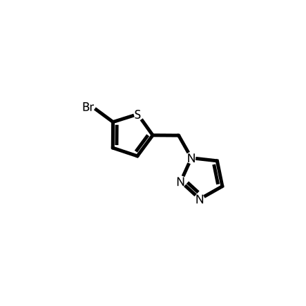 Brc1ccc(Cn2ccnn2)s1